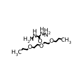 CCCOCCOCCOCCC.NNC(=O)NN